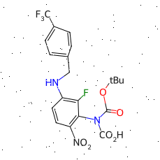 CC(C)(C)OC(=O)N(C(=O)O)c1c([N+](=O)[O-])ccc(NCc2ccc(C(F)(F)F)cc2)c1F